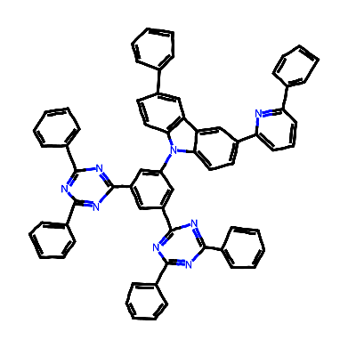 c1ccc(-c2ccc3c(c2)c2cc(-c4cccc(-c5ccccc5)n4)ccc2n3-c2cc(-c3nc(-c4ccccc4)nc(-c4ccccc4)n3)cc(-c3nc(-c4ccccc4)nc(-c4ccccc4)n3)c2)cc1